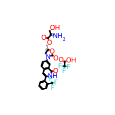 N[C@@H](CO)C(=O)OC[C@H]1CN(c2ccc3cc(-c4ccccc4C(F)(F)F)[nH]c(=O)c3c2)C(=O)O1.O=C(O)C(F)(F)F